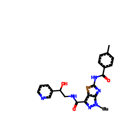 Cc1ccc(C(=O)Nc2nc3c(s2)c(C(=O)NCC(O)c2cccnc2)nn3C(C)(C)C)cc1